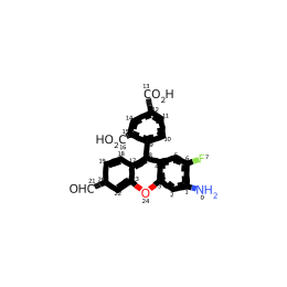 Nc1cc2c(cc1F)C(c1ccc(C(=O)O)cc1C(=O)O)=C1C=CC(C=O)C=C1O2